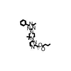 CCCC(=O)O[C@H](C)c1nccc(N2CCN(c3nc(C)nc(-c4ccccc4)n3)CC2(C)C)n1